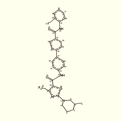 CC1CCCN(c2nc(C(F)(F)F)c(C(=O)Nc3ccc(-c4ccc(C(=O)Nc5ccccc5F)cc4)cc3)o2)C1